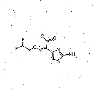 COC(=O)C(=NOCC(F)F)c1nsc(N)n1